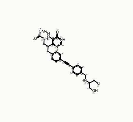 COC(=O)NCC(Cc1ccc(C#Cc2ccc(CNC(CO)CCl)cc2)cc1)c1nc[nH]c(=O)c1O